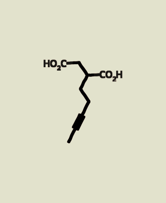 CC#CCCC(CC(=O)O)C(=O)O